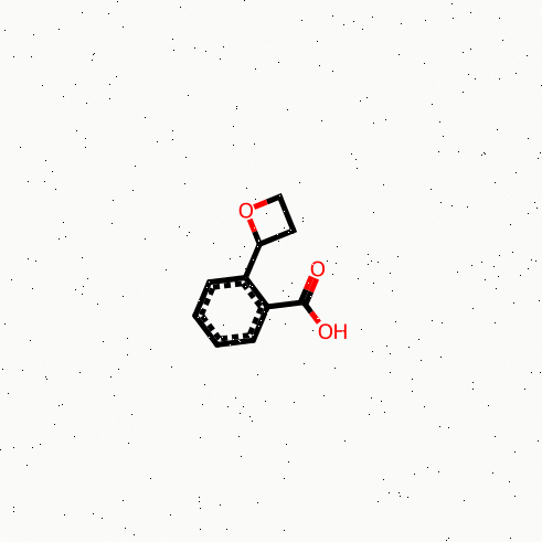 O=C(O)c1ccccc1C1CCO1